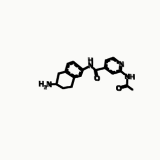 CC(=O)Nc1cc(C(=O)Nc2ccc3c(c2)CCC(N)C3)ccn1